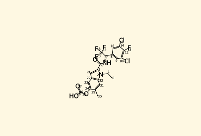 CCn1c(C(=O)NC(c2cc(Cl)c(F)c(Cl)c2)C(F)(F)F)cc2cc(OC(=O)O)c(C)cc21